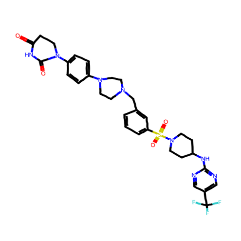 O=C1CCN(c2ccc(N3CCN(Cc4cccc(S(=O)(=O)N5CCC(Nc6ncc(C(F)(F)F)cn6)CC5)c4)CC3)cc2)C(=O)N1